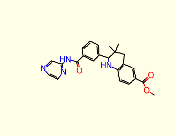 COC(=O)c1ccc2c(c1)CC(C)(C)C(c1cccc(C(=O)Nc3cnccn3)c1)N2